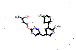 COc1ncc(Cc2cnc(OCCC(C)O)nc2)cc1-c1cccc(Cl)c1